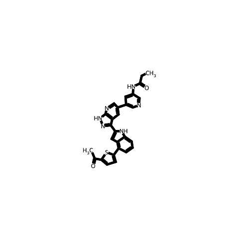 CCC(=O)Nc1cncc(-c2cnc3[nH]nc(-c4cc5c(-c6ccc(C(C)=O)s6)cccc5[nH]4)c3c2)c1